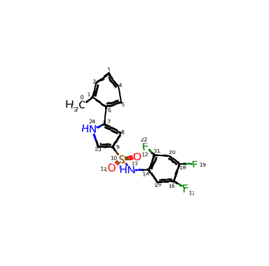 Cc1ccccc1-c1cc(S(=O)(=O)Nc2cc(F)c(F)cc2F)c[nH]1